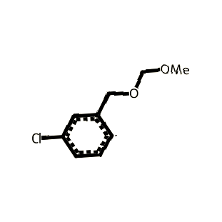 COCOCc1[c]ccc(Cl)c1